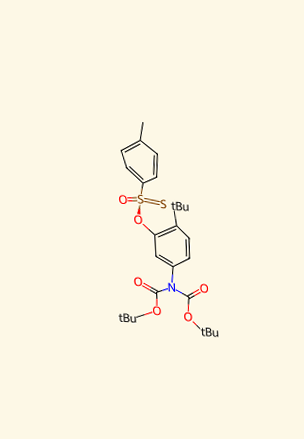 Cc1ccc([S@@](=O)(=S)Oc2cc(N(C(=O)OC(C)(C)C)C(=O)OC(C)(C)C)ccc2C(C)(C)C)cc1